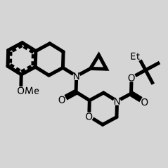 CCC(C)(C)OC(=O)N1CCOC(C(=O)N(C2CC2)C2CCc3cccc(OC)c3C2)C1